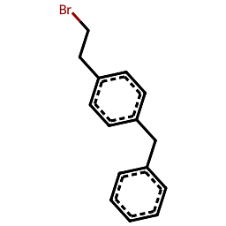 BrCCc1ccc(Cc2ccccc2)cc1